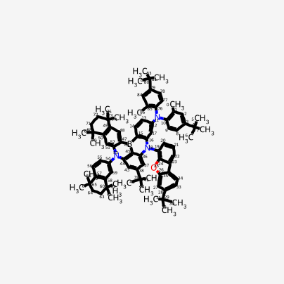 Cc1cc(C(C)(C)C)ccc1N(c1ccc2c(c1)N(c1cccc3c1oc1cc(C(C)(C)C)ccc13)c1cc(C(C)(C)C)cc3c1B2c1cc2c(cc1N3c1ccc3c(c1)C(C)(C)CCC3(C)C)C(C)(C)CCC2(C)C)c1ccc(C(C)(C)C)cc1C